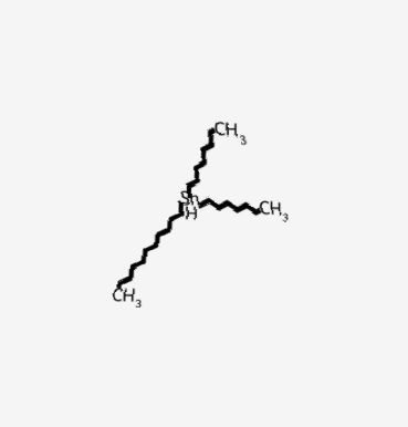 CCCCCCCCCCC[CH2][SnH]([CH2]CCCCCCC)[CH2]CCCCCCC